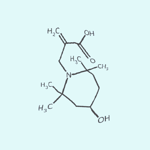 C=C(CN1C(C)(C)CC(O)CC1(C)C)C(=O)O